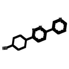 OC1CCC(c2ccc(-c3c[c]cnc3)nn2)CC1